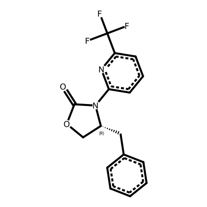 O=C1OC[C@@H](Cc2ccccc2)N1c1cccc(C(F)(F)F)n1